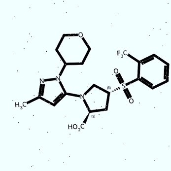 Cc1cc(N2C[C@H](S(=O)(=O)c3ccccc3C(F)(F)F)C[C@H]2C(=O)O)n(C2CCOCC2)n1